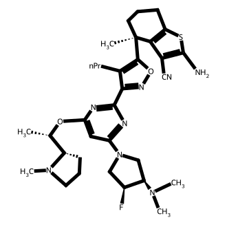 CCCc1c(-c2nc(O[C@@H](C)[C@@H]3CCCN3C)cc(N3C[C@@H](N(C)C)[C@@H](F)C3)n2)noc1[C@@]1(C)CCCc2sc(N)c(C#N)c21